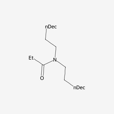 CCCCCCCCCCCCN(CCCCCCCCCCCC)C(=O)CC